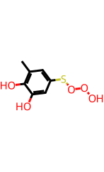 Cc1cc(SOOO)cc(O)c1O